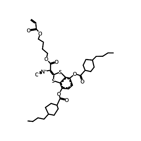 [C-]#[N+]C(C(=O)OCCCCOC(=O)C=C)=C1Sc2c(OC(=O)C3CCC(CCCC)CC3)ccc(OC(=O)C3CCC(CCCC)CC3)c2S1